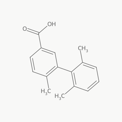 Cc1ccc(C(=O)O)cc1-c1c(C)cccc1C